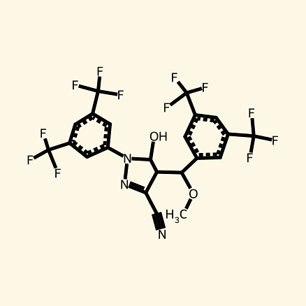 COC(c1cc(C(F)(F)F)cc(C(F)(F)F)c1)C1C(C#N)=NN(c2cc(C(F)(F)F)cc(C(F)(F)F)c2)C1O